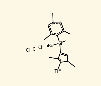 CCCC[Si](C)(C1=CC(C)[C]([Ti+3])=C1C)c1c(C)cc(C)cc1C.[Cl-].[Cl-].[Cl-]